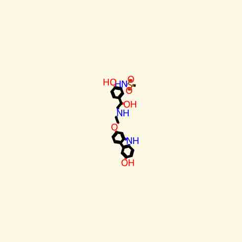 CS(=O)(=O)Nc1cc(C(O)CNCCOc2ccc3c(c2)[nH]c2ccc(O)cc23)ccc1O